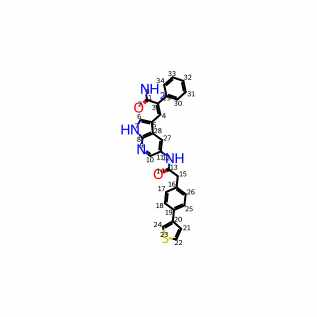 NC(=O)C(=Cc1c[nH]c2ncc(NC(=O)Cc3ccc(-c4ccsc4)cc3)cc12)c1ccccc1